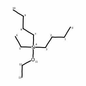 CCCC[Si](CC)(CCCC)OCC